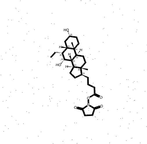 CC[C@H]1[C@@H](O)[C@@H]2[C@H](CC[C@]3(C)[C@@H](CCCC(=O)ON4C(=O)CCC4=O)CC[C@@H]23)[C@@]2(C)CC[C@@H](O)C[C@@H]12